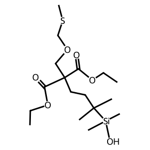 CCOC(=O)C(CCC(C)(C)[Si](C)(C)O)(COCSC)C(=O)OCC